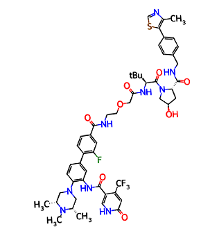 Cc1ncsc1-c1ccc(CNC(=O)[C@@H]2C[C@@H](O)CN2C(=O)[C@@H](NC(=O)COCCNC(=O)c2ccc(-c3ccc(N4C[C@@H](C)N(C)[C@@H](C)C4)c(NC(=O)c4c[nH]c(=O)cc4C(F)(F)F)c3)c(F)c2)C(C)(C)C)cc1